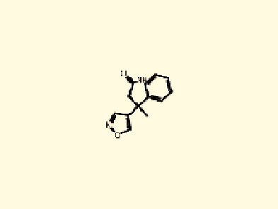 CC(CC(N)=O)(c1ccccc1)c1cnoc1